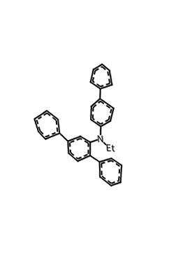 CCN(c1ccc(-c2ccccc2)cc1)c1cc(-c2ccccc2)ccc1-c1ccccc1